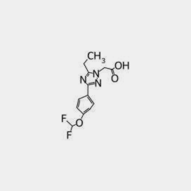 CCc1nc(-c2ccc(OC(F)F)cc2)nn1CC(=O)O